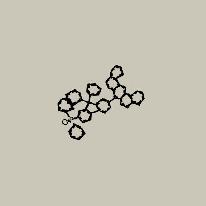 O=P(c1ccccc1)(c1ccccc1)c1ccc2c(c1)C(c1ccccc1)(c1ccccc1)c1cc(-c3c4ccc5ccccc5c4cc4c3ccc3ccccc34)ccc1-2